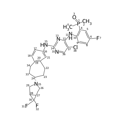 CP(C)(=O)c1cc(F)ccc1Nc1nc(Nc2ccc3c(c2)CC[C@H](N2CC4C(C2)C4(F)F)CC3)ncc1Cl